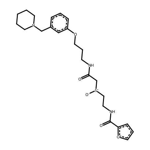 O=C(C[S+]([O-])CCNC(=O)c1ccco1)NCCCOc1cccc(CN2CCCCC2)c1